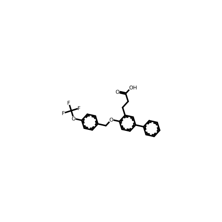 O=C(O)CCc1cc(-c2ccccc2)ccc1OCc1ccc(OC(F)(F)F)cc1